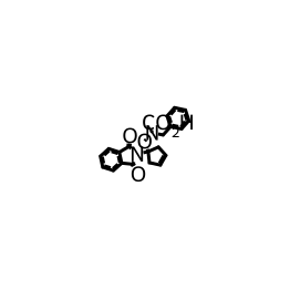 O=C(O)N(Cc1ccccc1)OC1(N2C(=O)c3ccccc3C2=O)CC=CC1